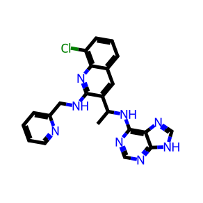 CC(Nc1ncnc2[nH]cnc12)c1cc2cccc(Cl)c2nc1NCc1ccccn1